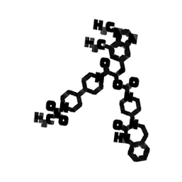 Cc1cc(C[C@@H](OC(=O)N2CCC(N3CCc4ccccc4NC3=O)CC2)C(=O)N2CCC(C3CCN(S(C)(=O)=O)CC3)CC2)cc2ncn(C)c12